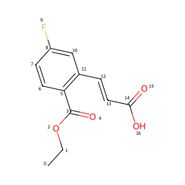 CCOC(=O)c1ccc(F)cc1/C=C/C(=O)O